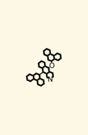 c1ccc2c(c1)cc(Oc1c3ccccc3c(-c3cc4ccccc4c4ccccc34)c3cnccc13)c1ccccc12